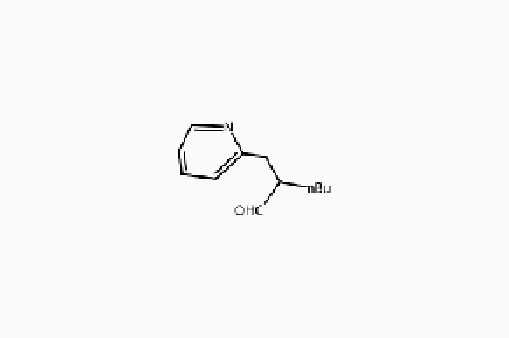 CCCCC(C=O)Cc1ccccn1